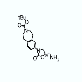 CC(C)(C)OC(=O)N1CCc2ccc(N3C[C@H](CN)OC3=O)cc2CC1